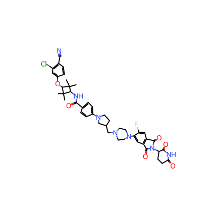 CC1(C)C(NC(=O)c2ccc(N3CCC(CN4CCN(c5cc6c(cc5F)C(=O)N(C5CCC(=O)NC5=O)C6=O)CC4)C3)cc2)C(C)(C)C1Oc1ccc(C#N)c(Cl)c1